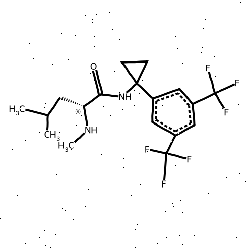 CN[C@H](CC(C)C)C(=O)NC1(c2cc(C(F)(F)F)cc(C(F)(F)F)c2)CC1